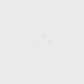 I.I.I.[PbH2]